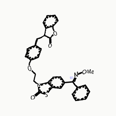 CO/N=C(\c1ccccc1)c1ccc2c(c1)sc(=O)n2CCOc1ccc(CC2C(=O)Oc3ccccc32)cc1